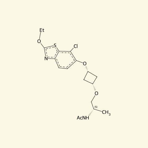 CCOc1nc2ccc(O[C@H]3C[C@@H](OC[C@H](C)NC(C)=O)C3)c(Cl)c2s1